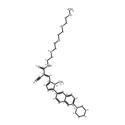 COCCOCCOCCOCCNC(=O)/C(C#N)=C/c1ccc(-c2ccc3cc(N4CCCCC4)ccc3c2)n1C